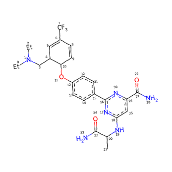 CCN(CC)CC1C=C(C(F)(F)F)C=CC1Oc1ccc(-c2nc(NC(C)C(N)=O)cc(C(N)=O)n2)cc1